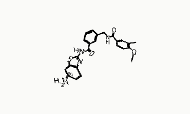 COc1ccc(C(=O)NCc2cccc(C(=O)Nc3nc4c(s3)C[C@H](N)CC4)c2)cc1C